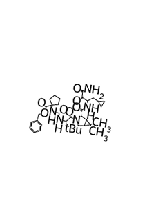 CC(C)(C)[C@H](NC(=O)NC1(C(=O)OCc2ccccc2)CCCC1)C(=O)N1CC2[C@@H]([C@H]1C(=O)NC(CC1CC1)C(=O)C(N)=O)C2(C)C